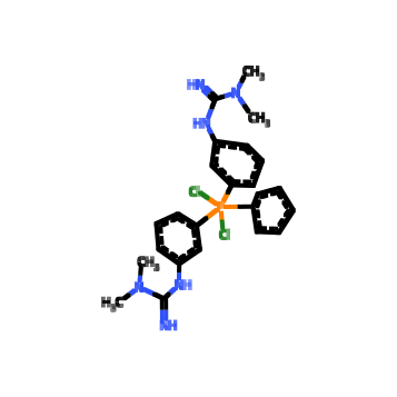 CN(C)C(=N)Nc1cccc(P(Cl)(Cl)(c2ccccc2)c2cccc(NC(=N)N(C)C)c2)c1